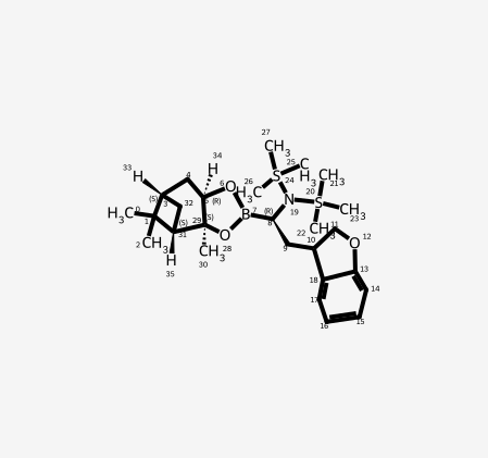 CC1(C)[C@@H]2C[C@H]3OB([C@H](CC4COc5ccccc54)N(S(C)(C)C)S(C)(C)C)O[C@@]3(C)[C@H]1C2